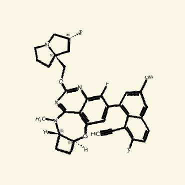 C#Cc1c(F)ccc2cc(O)cc(-c3cc4c5c(nc(OC[C@@]67CCCN6C[C@H](F)C7)nc5c3F)N(C)[C@H]3CC[C@@H]3O4)c12